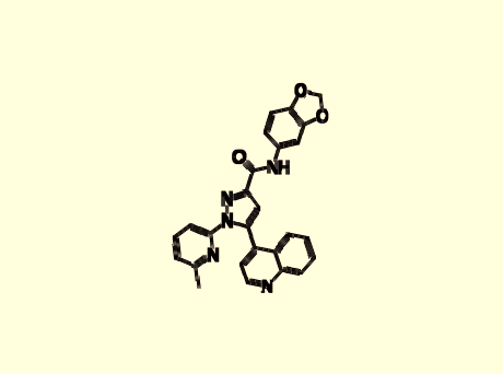 Cc1cccc(-n2nc(C(=O)Nc3ccc4c(c3)OCO4)cc2-c2ccnc3ccccc23)n1